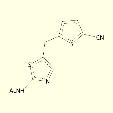 CC(=O)Nc1ncc(Cc2ccc(C#N)s2)s1